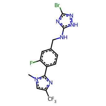 Cn1cc(C(F)(F)F)nc1-c1ccc(CNc2nc(Br)n[nH]2)cc1F